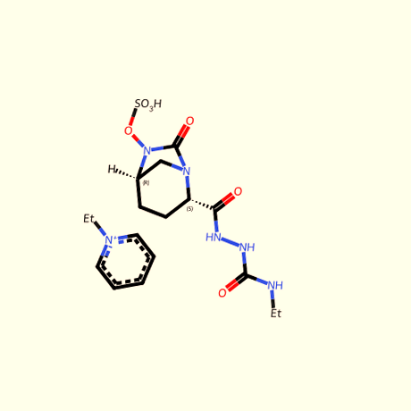 CCNC(=O)NNC(=O)[C@@H]1CC[C@@H]2CN1C(=O)N2OS(=O)(=O)O.CC[n+]1ccccc1